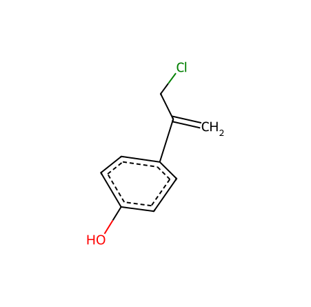 C=C(CCl)c1ccc(O)cc1